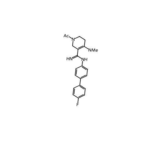 CNC1=C(C(=N)Nc2ccc(-c3ccc(F)cc3)cc2)CN(C(C)=O)CC1